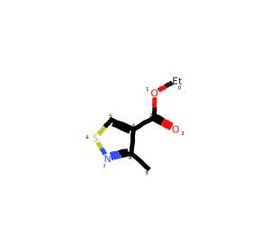 CCOC(=O)c1[c]snc1C